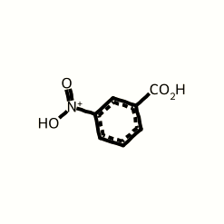 O=C(O)c1cccc([N+](=O)O)c1